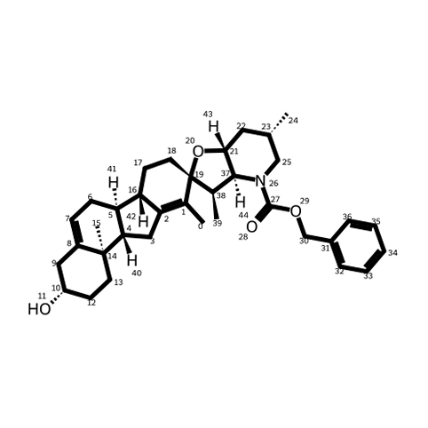 CC1=C2C[C@H]3[C@@H](CC=C4C[C@@H](O)CC[C@@]43C)[C@@H]2CC[C@]12O[C@@H]1C[C@H](C)CN(C(=O)OCc3ccccc3)[C@H]1[C@H]2C